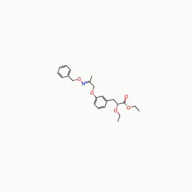 CCOC(=O)C(Cc1cccc(OCC(C)=NOCc2ccccc2)c1)OCC